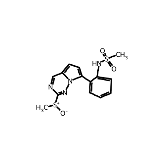 C[S+]([O-])c1ncc2ccc(-c3ccccc3NS(C)(=O)=O)n2n1